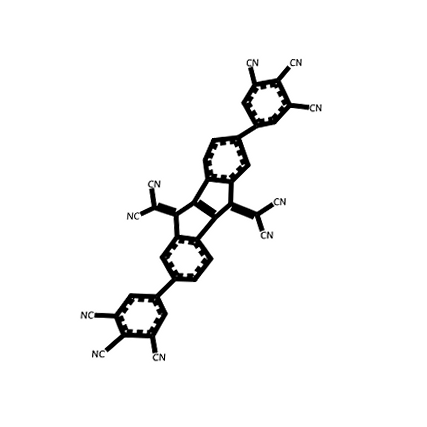 N#CC(C#N)=C1C2=C(C(=C(C#N)C#N)c3cc(-c4cc(C#N)c(C#N)c(C#N)c4)ccc32)c2ccc(-c3cc(C#N)c(C#N)c(C#N)c3)cc21